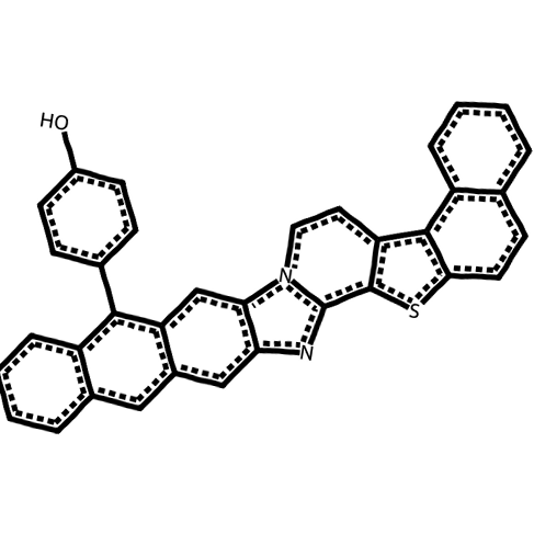 Oc1ccc(-c2c3ccccc3cc3cc4nc5c6sc7ccc8ccccc8c7c6ccn5c4cc23)cc1